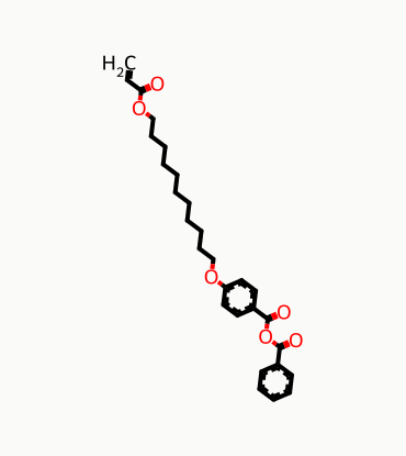 C=CC(=O)OCCCCCCCCCCCOc1ccc(C(=O)OC(=O)c2ccccc2)cc1